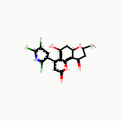 CC1CC(=O)C2=c3oc(=O)cc(-c4cc(F)c(Cl)nc4Cl)c3=C(O)CC2O1